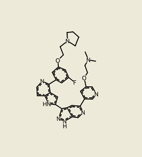 CN(C)CCOc1cncc(-c2cc3c(-c4cc5c(-c6cc(F)cc(OCCN7CCCC7)c6)nccc5[nH]4)n[nH]c3cn2)c1